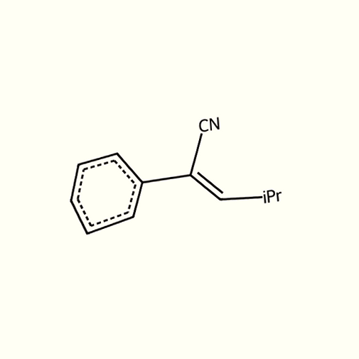 CC(C)/C=C(\C#N)c1ccccc1